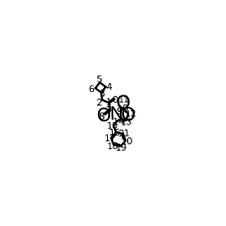 C=C(CC1CCC1)C(=O)N1C(=O)OCC1Cc1ccccc1